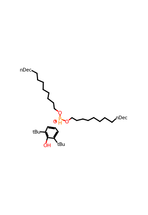 CC(C)(C)c1cccc(C(C)(C)C)c1O.CCCCCCCCCCCCCCCCCCO[PH](=O)OCCCCCCCCCCCCCCCCCC